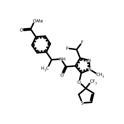 COC(=O)c1ccc(C(C)NC(=O)c2c(C(F)F)nn(C)c2OC2(C(F)(F)F)C=CSC2)cc1